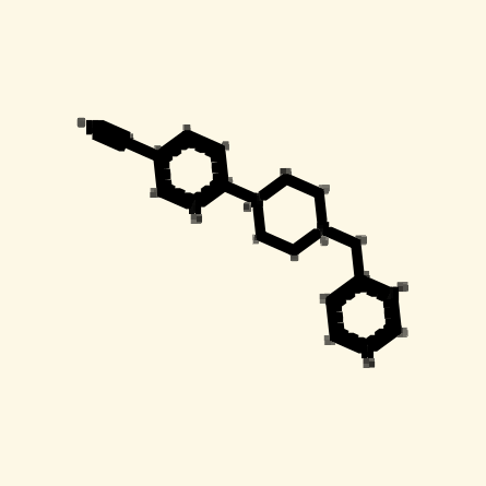 N#Cc1ccc(N2CCN(Cc3ccncn3)CC2)nc1